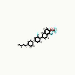 CCCC[C@H]1CC[C@H](c2ccc(-c3ccc4c(F)c(OC(F)(F)F)ccc4c3)c(F)c2)CC1